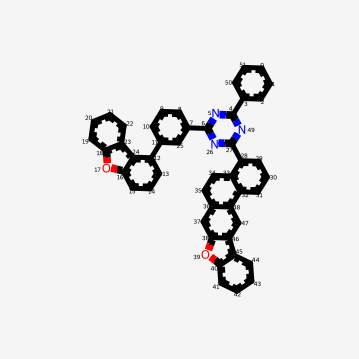 c1ccc(-c2nc(-c3cccc(-c4cccc5oc6ccccc6c45)c3)nc(-c3cccc4c3ccc3cc5oc6ccccc6c5cc34)n2)cc1